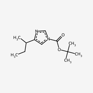 CCC(C)c1cn(C(=O)OC(C)(C)C)cn1